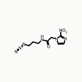 [N-]=[N+]=NCCCNC(=O)Cn1ccnc1[N+](=O)[O-]